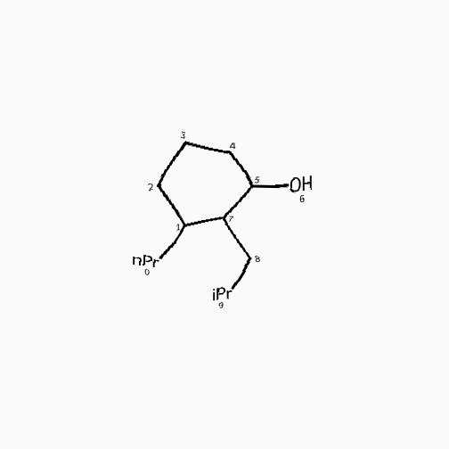 CCCC1CCCC(O)C1CC(C)C